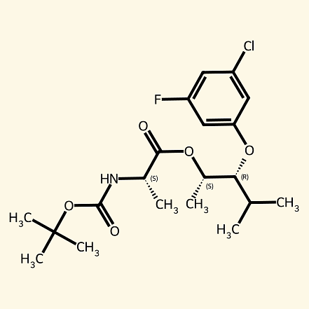 CC(C)[C@@H](Oc1cc(F)cc(Cl)c1)[C@H](C)OC(=O)[C@H](C)NC(=O)OC(C)(C)C